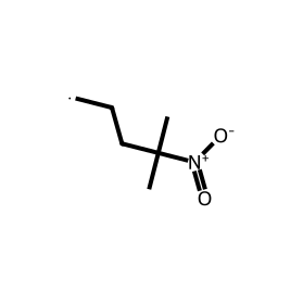 [CH2]CCC(C)(C)[N+](=O)[O-]